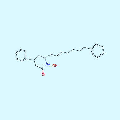 O=C1C[C@H](c2ccccc2)C[C@H](CCCCCCCc2ccccc2)N1O